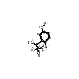 CCOc1ccc(Br)c(C(O)P(=O)(O)O)c1